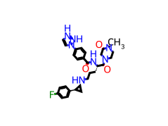 CN1CCN(C(=O)[C@H](CCCN[C@@H]2C[C@H]2c2ccc(F)cc2)NC(=O)c2ccc(N3C=CNN3)cc2)CC1=O